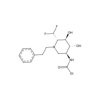 CCC(=O)N[C@H]1CN(CCc2ccccc2)[C@H](C(F)F)[C@@H](O)[C@@H]1O